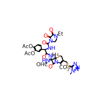 CCN1CCN(C(=O)NC(C(=O)N[C@]2(NC=O)C(=O)N3C(C(=O)O)=C(CSc4nnnn4C)CS[C@H]32)c2ccc(OC(C)=O)c(OC(C)=O)c2)C(=O)C1=O